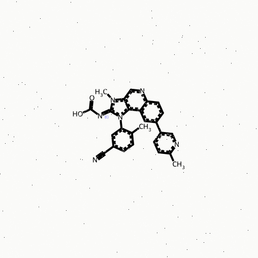 Cc1ccc(-c2ccc3ncc4c(c3c2)n(-c2cc(C#N)ccc2C)/c(=N/C(=O)O)n4C)cn1